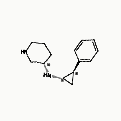 c1ccc([C@H]2C[C@@H]2N[C@H]2CCCNC2)cc1